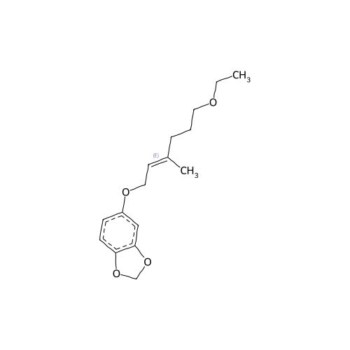 CCOCCC/C(C)=C/COc1ccc2c(c1)OCO2